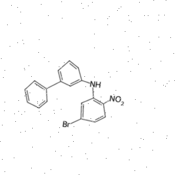 O=[N+]([O-])c1ccc(Br)cc1Nc1cccc(-c2ccccc2)c1